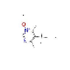 Cc1nc[n+]([O-])c(C)c1C(C)(C)C